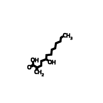 C=C(CCC(O)CCCCCCCC)C(=O)O